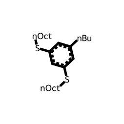 [CH2]CCCc1cc(SCCCCCCCC)cc(SCCCCCCCC)c1